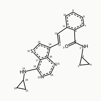 O=C(NC1CC1)c1ccccc1C=Cc1csc2c(NC3CC3)ncnc12